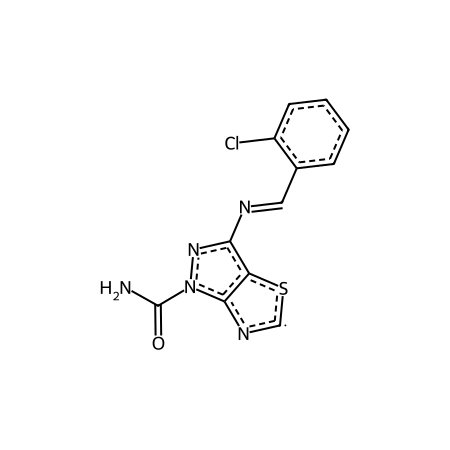 NC(=O)n1nc(N=Cc2ccccc2Cl)c2s[c]nc21